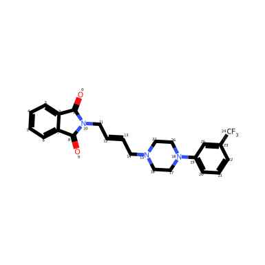 O=C1c2ccccc2C(=O)N1C/C=C/CN1CCN(c2cccc(C(F)(F)F)c2)CC1